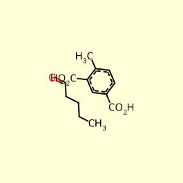 CCCCC=O.Cc1ccc(C(=O)O)cc1C(=O)O